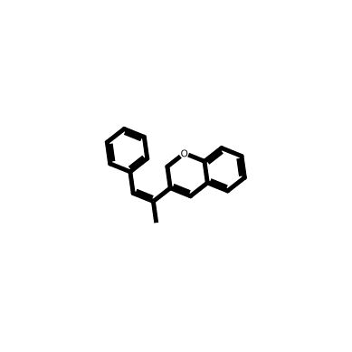 C/C(=C/c1ccccc1)C1=Cc2ccccc2OC1